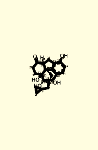 C[N@+]1(CC2CC2)CC[C@]23c4c5ccc(O)c4C[C@H]2C(=O)CC[C@@]3(O)[C@@]1(O)C5O